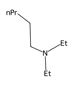 [CH2]CCCCN(CC)CC